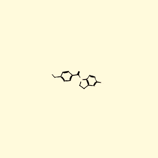 O=C(c1ccc(CCl)cc1)N1CCc2cc([N+](=O)[O-])ccc21